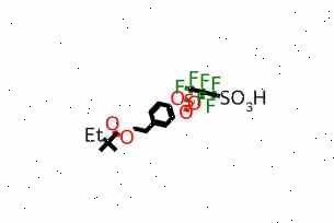 CCC(C)(C)C(=O)OCCc1ccc(OS(=O)(=O)C(F)(F)C(F)(F)C(F)(F)S(=O)(=O)O)cc1